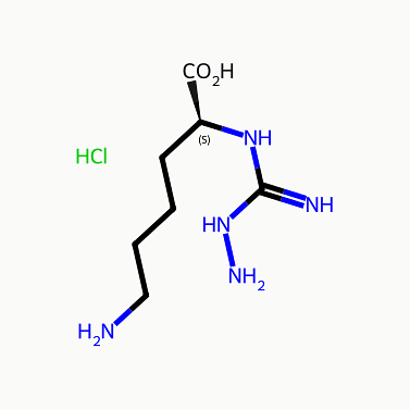 Cl.N=C(NN)N[C@@H](CCCCN)C(=O)O